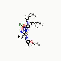 CCCCC(CC)CN(CC(CC)CCCC)c1ccc(N=Nc2sc(N=Nc3cccc(OC(C)C)c3)c(C)c2C#N)c(NS(=O)(=O)C(F)(F)F)c1